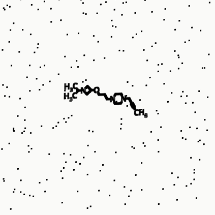 CC#CCN1CCN(CCCOC2CN(C(C)C)C2)CC1